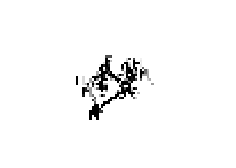 CCN(CC(=O)OC)c1ccc(F)cc1OCCOc1cc(OCCCCCCN=[N+]=[N-])c(C=O)cc1N(CC)CC(=O)OC